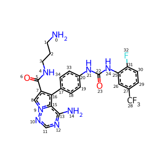 NCCCNC(=O)c1cn2ncnc(N)c2c1-c1ccc(NC(=O)Nc2cc(C(F)(F)F)ccc2F)cc1